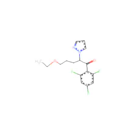 CCOCCCC(C(=O)c1c(F)cc(F)cc1F)n1cccn1